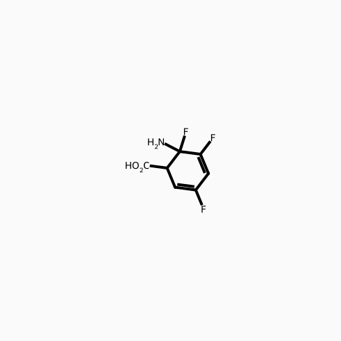 NC1(F)C(F)=CC(F)=CC1C(=O)O